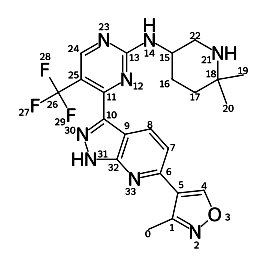 Cc1nocc1-c1ccc2c(-c3nc(NC4CCC(C)(C)NC4)ncc3C(F)(F)F)n[nH]c2n1